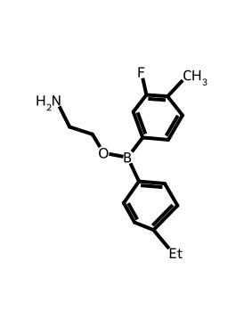 CCc1ccc(B(OCCN)c2ccc(C)c(F)c2)cc1